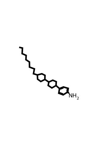 CCCCCCCCCC1CCC(C2CCC(c3ccc(N)cc3)CC2)CC1